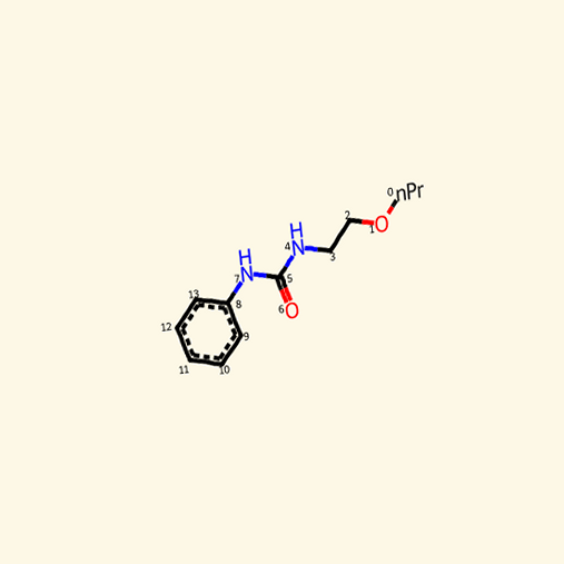 CCCOCCNC(=O)Nc1ccccc1